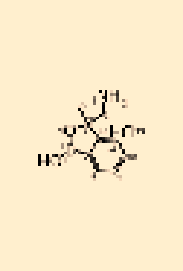 C[C@]1(CN)OB(O)c2ccccc21.Cl